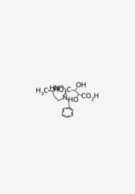 C[C@@H]1CCN(Cc2ccccc2)CCN1.O=C(O)C(O)C(O)C(=O)O